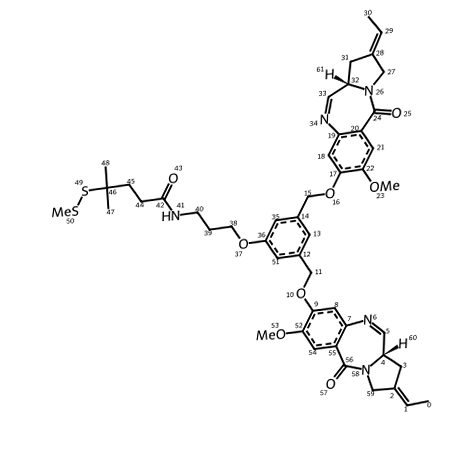 C/C=C1\C[C@H]2C=Nc3cc(OCc4cc(COc5cc6c(cc5OC)C(=O)N5C/C(=C/C)C[C@H]5C=N6)cc(OCCCNC(=O)CCC(C)(C)SSC)c4)c(OC)cc3C(=O)N2C1